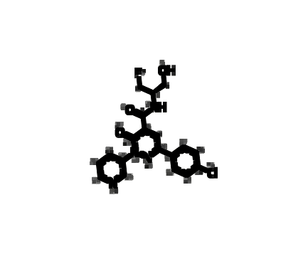 O=C(N[C@H](CO)CF)c1cc(-c2ccc(Cl)cc2)nn(-c2cccnc2)c1=O